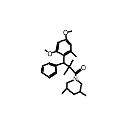 COc1cc(C)c(C(c2ccccc2)C(C)(C)C(=O)N2CC(C)CC(C)C2)c(OC)c1